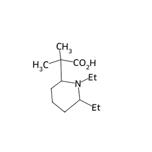 CCC1CCCC(C(C)(C)C(=O)O)N1CC